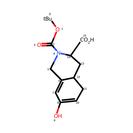 CC(C)(C)OC(=O)N1CC2=CC(O)=CCC2CC1C(=O)O